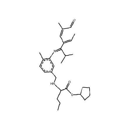 C/C=C(\C=C(\C)C=O)C(=N/c1cc(CNC(CCC)C(=O)OC2CCCC2)ccc1C)/C(C)C